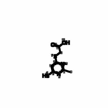 Cc1nc(S)cc(SCC(=O)O)n1